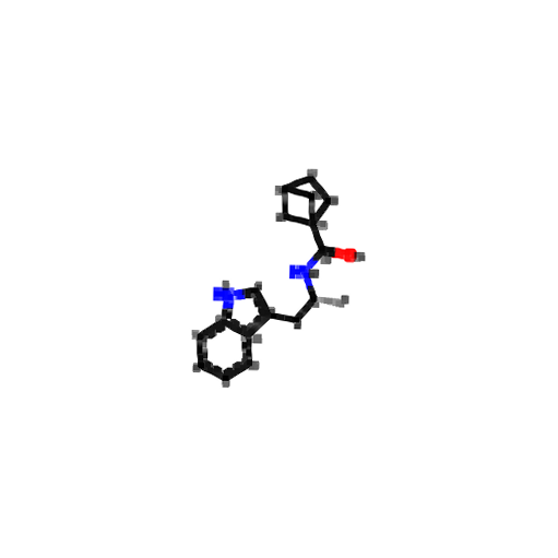 C[C@H](Cc1c[nH]c2ccccc12)NC(=O)C12CCC(C1)C2